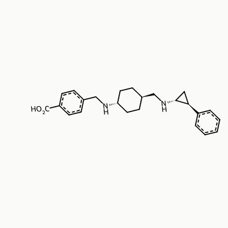 O=C(O)c1ccc(CN[C@H]2CC[C@H](CN[C@@H]3C[C@H]3c3ccccc3)CC2)cc1